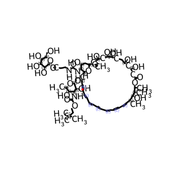 CO[C@]12C[C@@H](O)C[C@@H](O)[C@H](O)CC[C@@H](O)C[C@@H](O)CC(=O)OC(C)[C@H](C)[C@H](O)[C@@H](C)/C=C/C=C/C=C/C=C/C=C/C=C/C=C/[C@H](O[C@@H]3O[C@H](C)[C@@H](O)[C@H](NC(=O)OCC[Si](C)(C)C)[C@@H]3O)C[C@H](O1)[C@H](NC(=O)NCCCO[C@H]1O[C@H](CO)[C@@H](O)[C@H](O)[C@@H]1O)[C@@H](O)C2